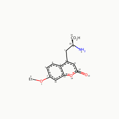 CCOc1ccc2c(C[C@H](N)C(=O)O)cc(=O)oc2c1